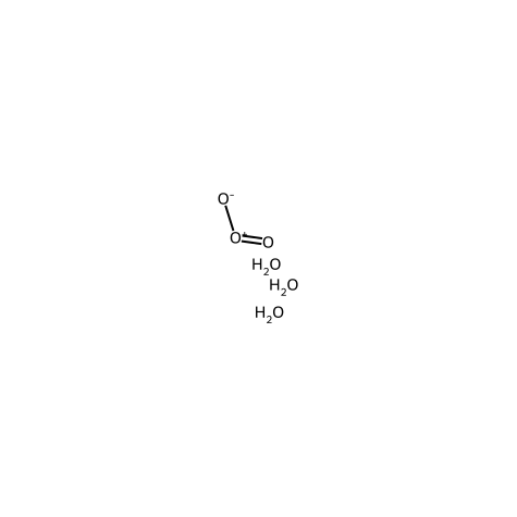 O.O.O.O=[O+][O-]